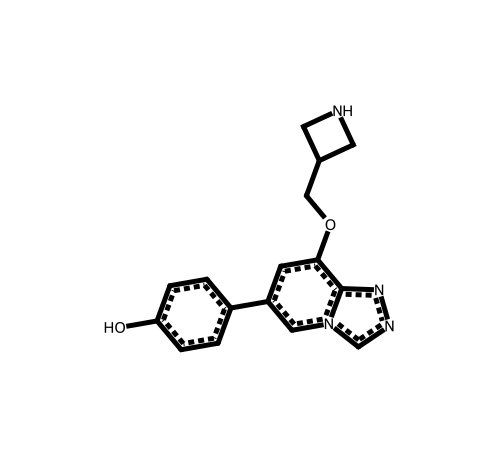 Oc1ccc(-c2cc(OCC3CNC3)c3nncn3c2)cc1